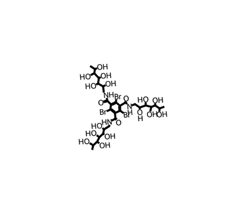 CC(O)C(O)C(O)C(O)C(O)CNC(=O)c1c(Br)c(C(=O)NCC(O)C(O)C(O)C(O)C(C)O)c(Br)c(C(=O)NCC(O)C(O)C(O)C(O)C(C)O)c1Br